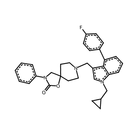 O=C1OC2(CCN(Cc3cn(CC4CC4)c4cccc(-c5ccc(F)cc5)c34)CC2)CN1c1ccccc1